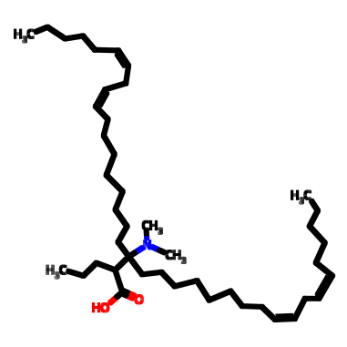 CCCCC/C=C\C/C=C\CCCCCCCCC(CCCCCCCC/C=C\C/C=C\CCCCC)(C(CCC)C(=O)O)N(C)C